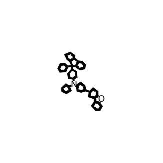 C1=CC(C2(c3ccccc3)c3ccccc3-c3ccccc32)CC=C1N(c1ccccc1)c1ccc(-c2ccc3oc4ccccc4c3c2)cc1